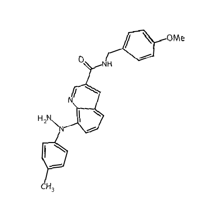 COc1ccc(CNC(=O)c2cnc3c(N(N)c4ccc(C)cc4)cccc3c2)cc1